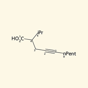 CCCCCC#CCC(C(=O)O)C(C)C